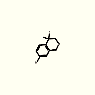 FC1(F)COCc2cc(Br)ccc21